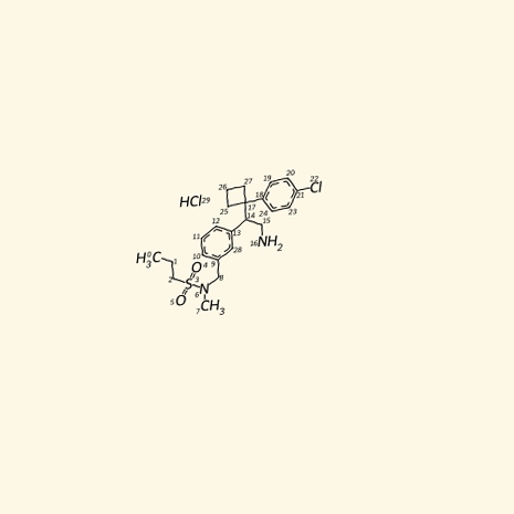 CCCS(=O)(=O)N(C)Cc1cccc(C(CN)C2(c3ccc(Cl)cc3)CCC2)c1.Cl